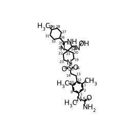 Cc1cc(N(C)C(N)=O)cc(C)c1CCS(=O)(=O)N1CCC2(CC1)N=C(C1CCC(C)CC1)N/C2=N\O